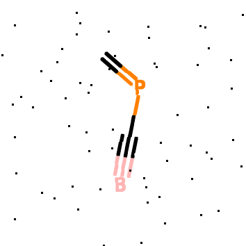 B#CP=C